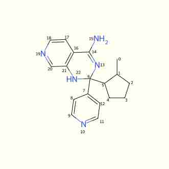 CC1CCCC1C1(c2ccncc2)N=C(N)c2ccncc2N1